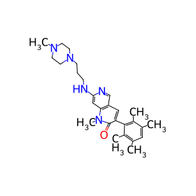 Cc1cc(C)c(C)c(-c2cc3cnc(NCCCN4CCN(C)CC4)cc3n(C)c2=O)c1C